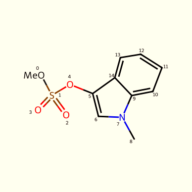 COS(=O)(=O)Oc1cn(C)c2ccccc12